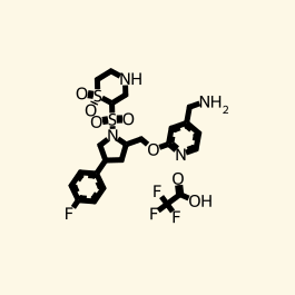 NCc1ccnc(OCC2CC(c3ccc(F)cc3)CN2S(=O)(=O)C2CNCCS2(=O)=O)c1.O=C(O)C(F)(F)F